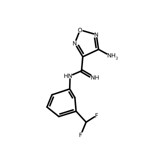 N=C(Nc1cccc(C(F)F)c1)c1nonc1N